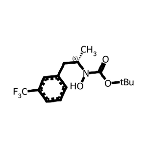 C[C@@H](Cc1cccc(C(F)(F)F)c1)N(O)C(=O)OC(C)(C)C